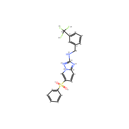 O=S(=O)(c1ccccc1)c1ccc2nc(NCc3cccc(C(F)(F)F)c3)nn2c1